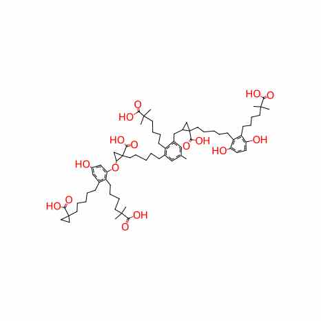 Cc1cc(CCCCCC2(C(=O)O)CC2Oc2cc(O)cc(CCCCCC3(C(=O)O)CC3)c2CCCCC(C)(C)C(=O)O)c(CCCCC(C)(C)C(=O)O)c(CC2CC2(CCCCCc2c(O)ccc(O)c2CCCCC(C)(C)C(=O)O)C(=O)O)c1